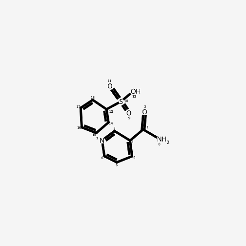 NC(=O)c1cccnc1.O=S(=O)(O)c1ccccc1